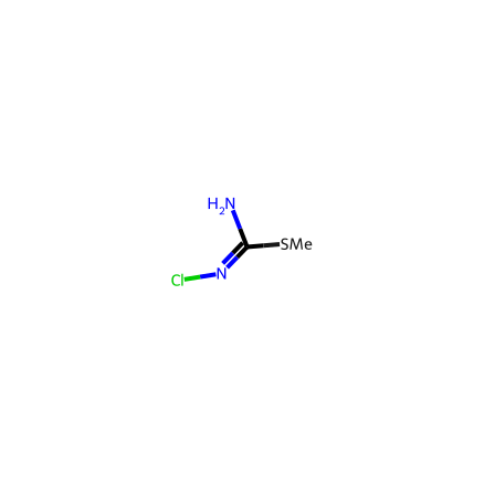 CSC(N)=NCl